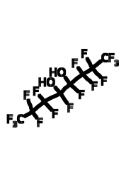 OC(F)(C(O)(F)C(F)(F)C(F)(F)C(F)(F)F)C(F)(F)C(F)(F)C(F)(F)F